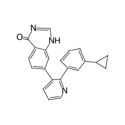 O=c1nc[nH]c2cc(-c3cccnc3-c3cccc(C4CC4)c3)ccc12